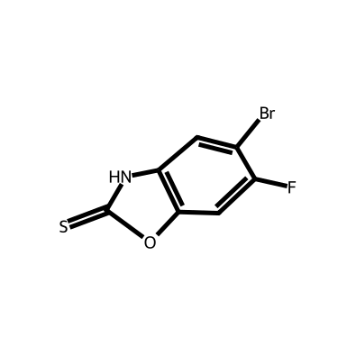 Fc1cc2oc(=S)[nH]c2cc1Br